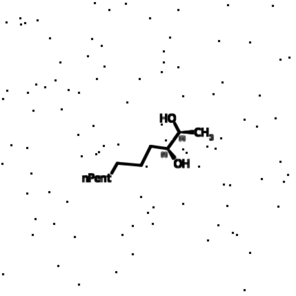 CCCCCCCC[C@H](O)[C@H](C)O